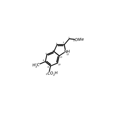 COCc1cc2cc(C)c(C(=O)O)cc2[nH]1